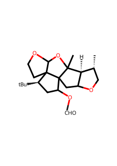 C[C@@H]1COC2CC34C(OC=O)C[C@@H](C(C)(C)C)C35CCOC5OC4(C)[C@H]21